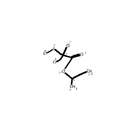 CC(C)OC(=O)C(Cl)(Cl)SCl